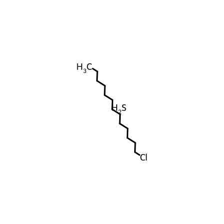 CCCCCCCCCCCCCCl.S